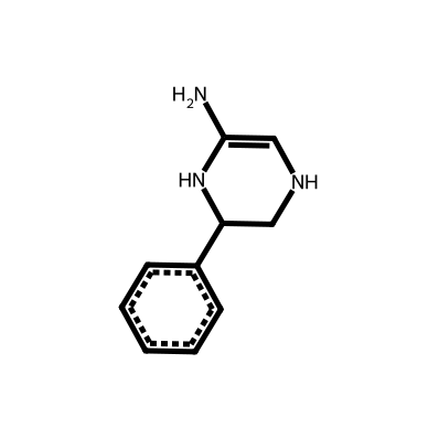 NC1=CNCC(c2ccccc2)N1